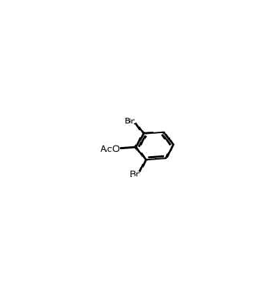 CC(=O)Oc1c(Br)cccc1Br